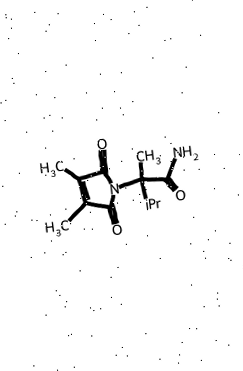 CC1=C(C)C(=O)N(C(C)(C(N)=O)C(C)C)C1=O